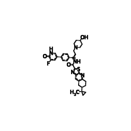 CC1(C2CCc3nc4sc(C(=O)N[C@H](CCN5CCC(O)CC5)c5ccc(-c6c[nH]c(=O)c(F)c6)cc5)nc4cc3C2)CC1